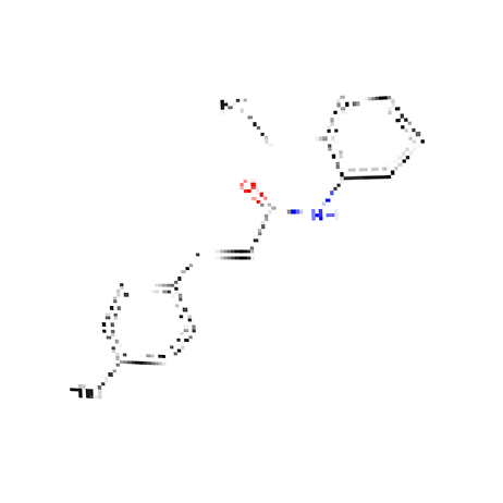 CC(C)(C)c1ccc(/C=C/C(=O)Nc2ccccc2CC#N)cc1